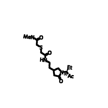 CC[C@H](C(C)=O)N1CC(CCNC(=O)CSCC(=O)NC)CC1=O